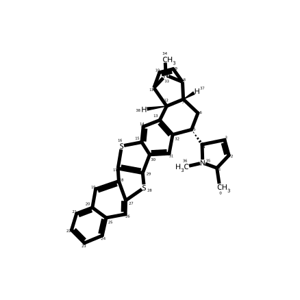 CC1C=CC([C@H]2C[C@H]3C4C=CC([C@H]3c3cc5sc6c7cc8ccccc8cc7sc6c5cc32)N4C)N1C